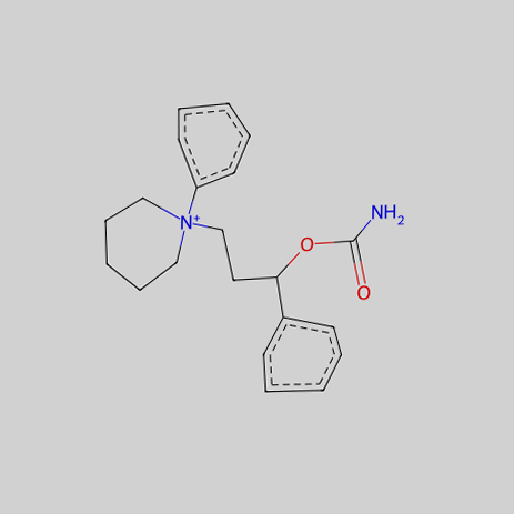 NC(=O)OC(CC[N+]1(c2ccccc2)CCCCC1)c1ccccc1